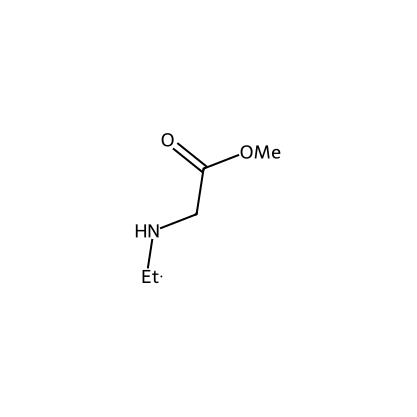 C[CH]NCC(=O)OC